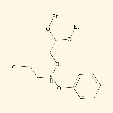 CCOC(CO[SiH](CCCl)Oc1ccccc1)OCC